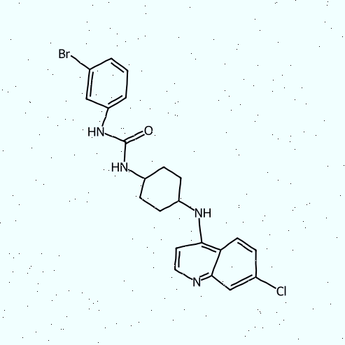 O=C(Nc1cccc(Br)c1)NC1CCC(Nc2ccnc3cc(Cl)ccc23)CC1